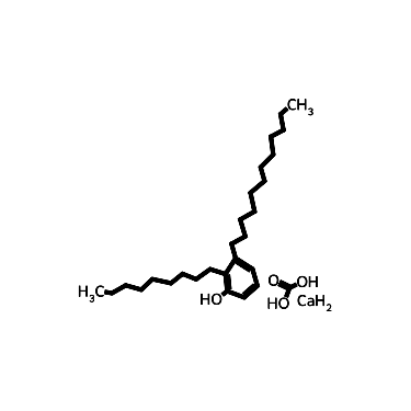 CCCCCCCCCCCCc1cccc(O)c1CCCCCCCCC.O=C(O)O.[CaH2]